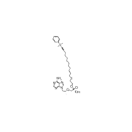 C[C@H](Cn1cnc2c(N)ncnc21)OCP(=O)(O)OCCSCCCCCCCCCCC#CS(C)(C)c1ccccc1